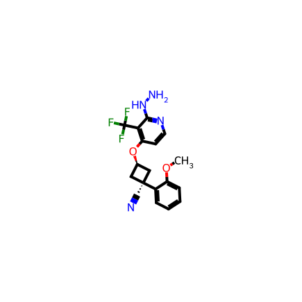 COc1ccccc1[C@]1(C#N)C[C@H](Oc2ccnc(NN)c2C(F)(F)F)C1